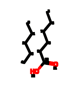 CCCCC.CCCCCC(=O)O